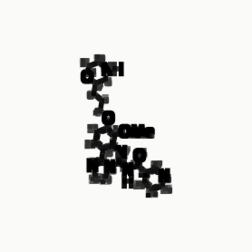 COc1c(OCCCC2CNCCO2)ccc2c1N=C(NC(=O)c1cccnc1)N1CCN=C21